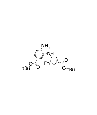 CC(C)(C)OC(=O)c1ccc(N)c(NC2CN(C(=O)OC(C)(C)C)C[C@H]2F)c1